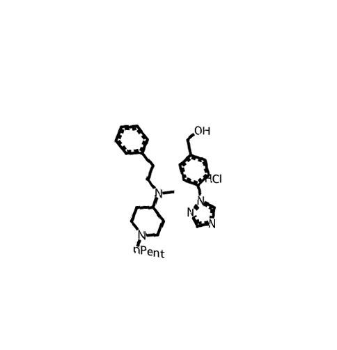 CCCCCN1CCC(N(C)CCc2ccccc2)CC1.Cl.OCc1ccc(-n2cncn2)cc1